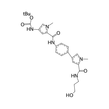 Cn1cc(-c2ccc(NC(=O)c3cc(NC(=O)OC(C)(C)C)cn3C)cc2)cc1C(=O)NCCCO